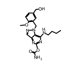 CCCCNc1nc(OC(N)=O)nc2cnn(Cc3cc(CO)ccc3OC)c12